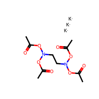 CC(=O)ON(CCN(OC(C)=O)OC(C)=O)OC(C)=O.[K].[K].[K]